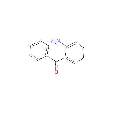 Nc1ccccc1C(=O)c1cc[c]cc1